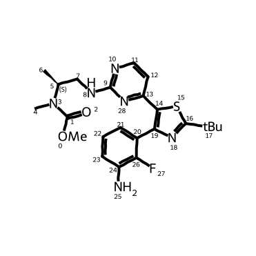 COC(=O)N(C)[C@@H](C)CNc1nccc(-c2sc(C(C)(C)C)nc2-c2cccc(N)c2F)n1